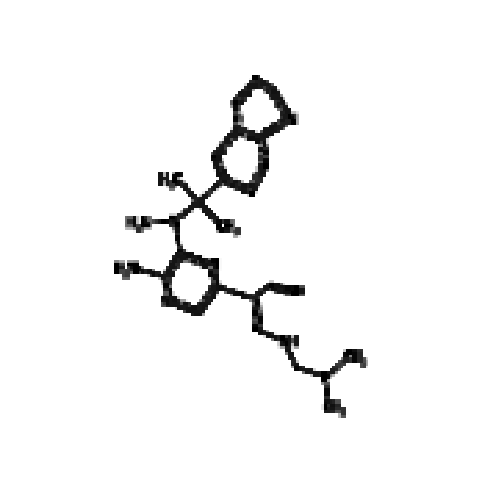 CP(C)CN/C=C(\C=N)c1cnc(N)c(N(N)C(C)(C)c2ccc3ncccc3c2)n1